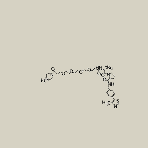 CCN1CCN(C(=O)CCOCCOCCOCCOCCC(=O)NC(C(=O)N2CCC[C@H]2C(=O)NCc2ccc(-c3scnc3C)cc2)C(C)(C)C)CC1